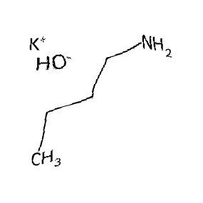 CCCCN.[K+].[OH-]